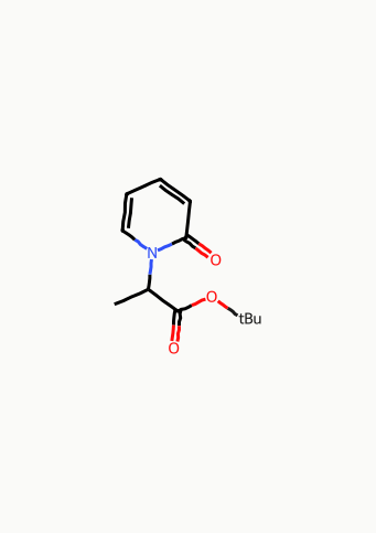 CC(C(=O)OC(C)(C)C)n1ccccc1=O